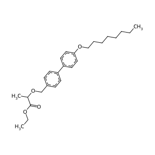 CCCCCCCCOc1ccc(-c2ccc(COC(C)C(=O)OCC)cc2)cc1